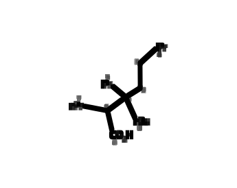 CCCCC(CCC(C)C)(C(C)C)C(CCC)C(=O)O